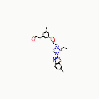 CC[C@H]1CN(c2nc3ccc(C)cc3s2)CCN1CCOc1cc(C)cc(CC=O)c1